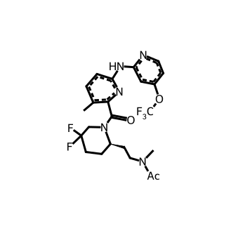 CC(=O)N(C)CC[C@H]1CCC(F)(F)CN1C(=O)c1nc(Nc2cc(OC(F)(F)F)ccn2)ccc1C